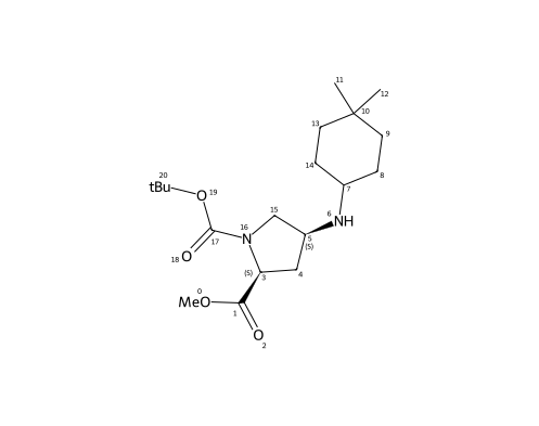 COC(=O)[C@@H]1C[C@H](NC2CCC(C)(C)CC2)CN1C(=O)OC(C)(C)C